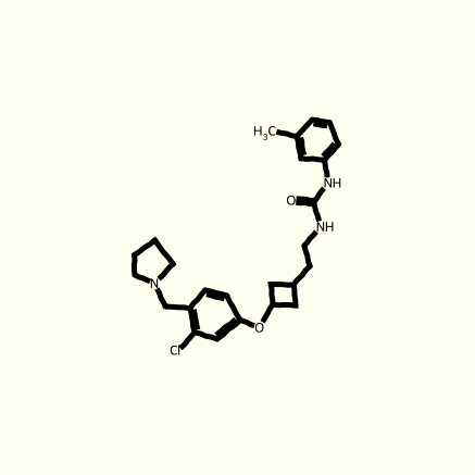 Cc1cccc(NC(=O)NCCC2CC(Oc3ccc(CN4CCCC4)c(Cl)c3)C2)c1